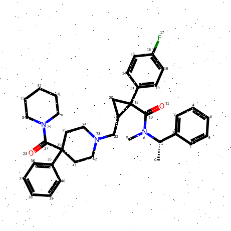 C[C@@H](c1ccccc1)N(C)C(=O)C1(c2ccc(F)cc2)CC1CN1CCC(C(=O)N2CCCCC2)(c2ccccc2)CC1